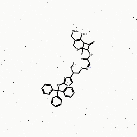 CCOC(CO/N=C\C(=O)NC1C(=O)N2C(C(=O)O)=C(COC)CS[C@@H]12)c1csc(NC(c2ccccc2)(c2ccccc2)c2ccccc2)n1